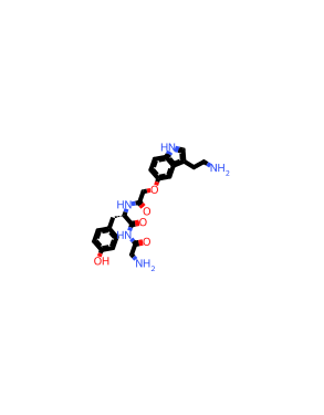 NCCc1c[nH]c2ccc(OCC(=O)N[C@@H](Cc3ccc(O)cc3)C(=O)NC(=O)CN)cc12